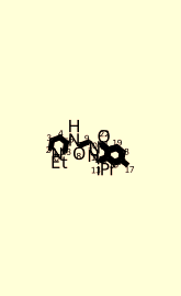 CCN1CCC[C@@H](NC(=O)Cn2nc(C(C)C)c3cc(C)ccc3c2=O)C1